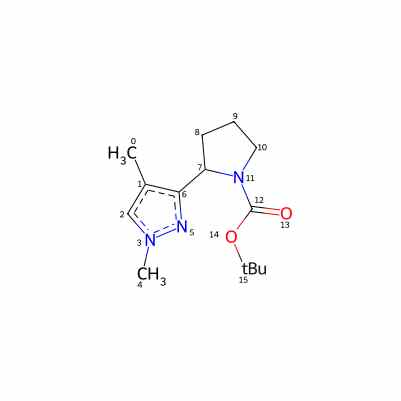 Cc1cn(C)nc1C1CCCN1C(=O)OC(C)(C)C